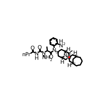 CCCC(=O)NC(=O)N(N)C(C)C(=O)N(c1ccccc1N)[C@H]1C[C@H]2CO[C@H](C)[C@@H](C1)N2[C@@H]1C[C@@H]2CCCC[C@@H](C2)C1